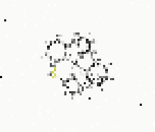 CC(C)c1cccc2c1C1(c3ccccc3S2)c2ccccc2-c2ccccc21